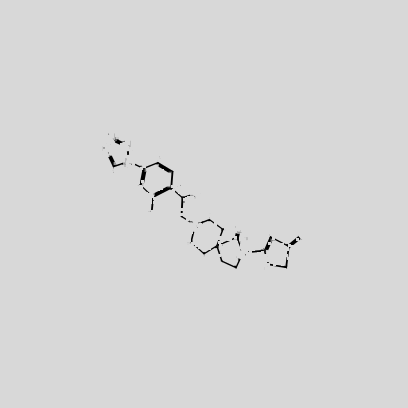 C=C1C=C(N2CCC3(CCN(CC(O)c4ccc(-n5cnnn5)cc4C)CC3)C2=O)CC1